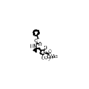 COC(=O)N1C(=O)/C(=C/C2(NC(=O)OCc3ccccc3)CC2)C[C@H]1C(=O)O